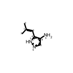 CC(C)=Cc1[nH]ncc1N